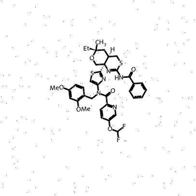 CC[C@@]1(C)C[C@H]2CSC(NC(=O)c3ccccc3)=N[C@@]2(c2nc(N(Cc3ccc(OC)cc3OC)C(=O)c3ccc(OC(F)F)cn3)cs2)CO1